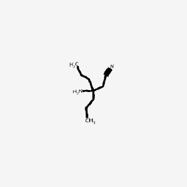 CCCC(N)(CC#N)CCC